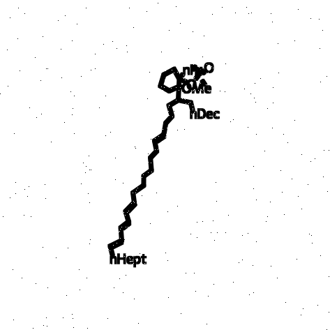 CCCCCCCC=CC=CC=CCCCCCCC=CCCCC(CCCCCCCCCCC)C1(OC)CCCCC1(CCC)OP(C)(C)=O